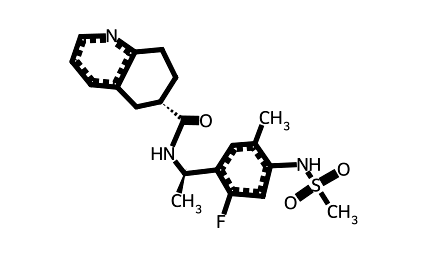 Cc1cc([C@@H](C)NC(=O)[C@H]2CCc3ncccc3C2)c(F)cc1NS(C)(=O)=O